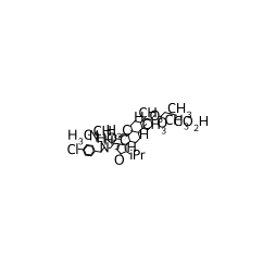 CC(C)C1=C2[C@H]3CC[C@@H]4[C@@]5(C)CC[C@H](OC(=O)CC(C)(C)CC(=O)O)[C@H](C)[C@@H]5CC[C@@]4(C)[C@]3(C)CC[C@@]2([C@@H](O)CN(CCN(C)C)Cc2ccc(Cl)cc2)CC1=O